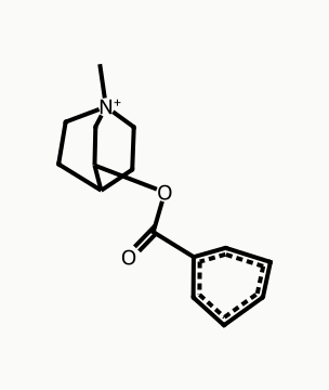 C[N+]12CCC(CC1)C(OC(=O)c1ccccc1)C2